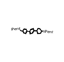 CCCCCC1CCC(c2ccc(-c3ccc(CC(C)CCC)cc3)cc2)CC1